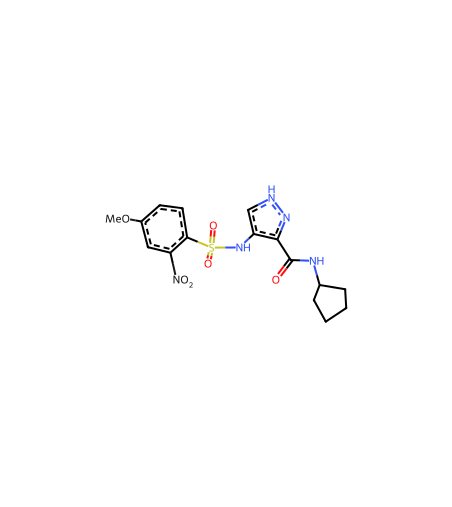 COc1ccc(S(=O)(=O)Nc2c[nH]nc2C(=O)NC2CCCC2)c([N+](=O)[O-])c1